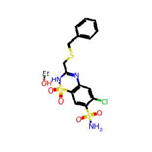 CCO.NS(=O)(=O)c1cc2c(cc1Cl)N=C(CSCc1ccccc1)NS2(=O)=O